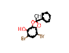 CC1(c2ccccc2)Oc2c(Br)cc(Br)c(O)c2O1